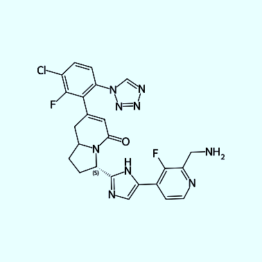 NCc1nccc(-c2cnc([C@@H]3CCC4CC(c5c(-n6cnnn6)ccc(Cl)c5F)=CC(=O)N43)[nH]2)c1F